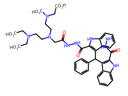 NNC(=O)c1[nH]c2ccccc2c1C(c1ccccc1)c1c(C(=O)NNC(=O)CN(CCN(CC(=O)O)CC(=O)O)CCN(CC(=O)O)C(=O)O)[nH]c2ccccc12